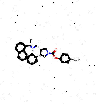 C[C@@H](NC[C@@H]1CN(C(=O)Oc2ccc(C(=O)O)cc2)C[C@@H]1c1ccccc1)c1cccc2ccccc12